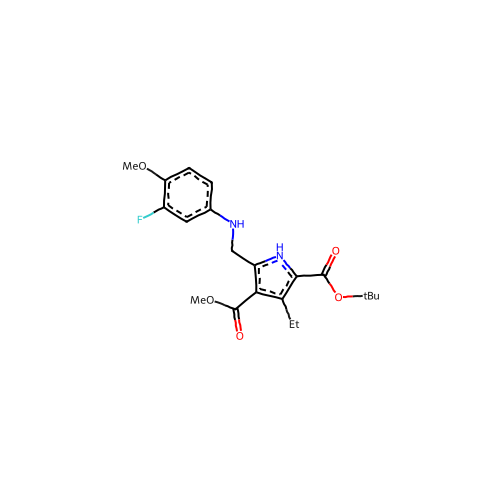 CCc1c(C(=O)OC(C)(C)C)[nH]c(CNc2ccc(OC)c(F)c2)c1C(=O)OC